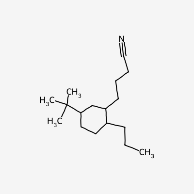 CCCC1CCC(C(C)(C)C)CC1CCCC#N